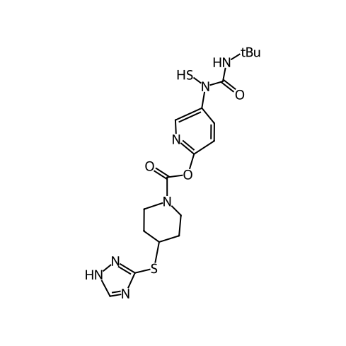 CC(C)(C)NC(=O)N(S)c1ccc(OC(=O)N2CCC(Sc3nc[nH]n3)CC2)nc1